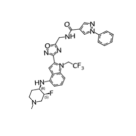 CN1CC[C@@H](Nc2cccc3c2cc(-c2noc(CNC(=O)c4cnn(-c5ccccc5)c4)n2)n3CC(F)(F)F)[C@@H](F)C1